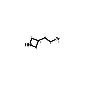 BrCCC1CNC1